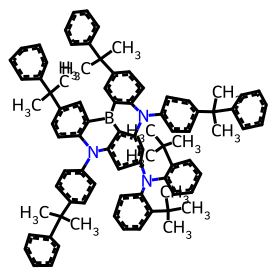 CC(C)(C)c1ccccc1N(c1cc2c3c(c1)N(c1ccc(C(C)(C)c4ccccc4)cc1)c1ccc(C(C)(C)c4ccccc4)cc1B3c1cc(C(C)(C)c3ccccc3)ccc1N2c1ccc(C(C)(C)c2ccccc2)cc1)c1ccccc1C(C)(C)C